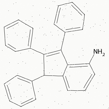 Nc1cccc2c1C(c1ccccc1)=C(c1ccccc1)C2c1ccccc1